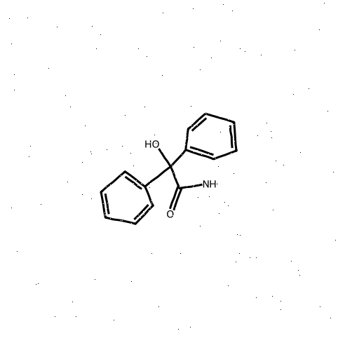 [NH]C(=O)C(O)(c1ccccc1)c1ccccc1